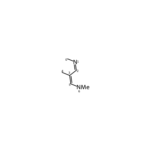 C/N=C\C(C)=C/NC